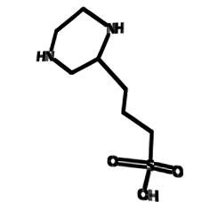 O=S(=O)(O)CCCC1CNCCN1